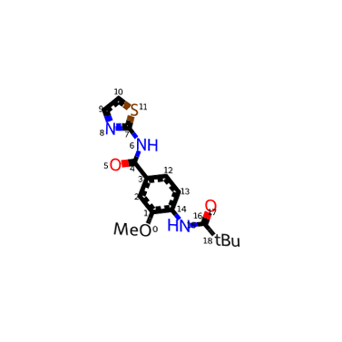 COc1cc(C(=O)Nc2nccs2)ccc1NC(=O)C(C)(C)C